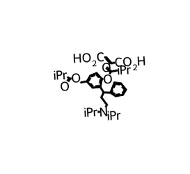 CC(C)C(=O)OCc1ccc(OC(=O)C(C)C)c(C(CCN(C(C)C)C(C)C)c2ccccc2)c1.O=C(O)/C=C/C(=O)O